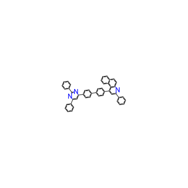 c1ccc(-c2cc(-c3ccc(-c4ccc(-c5cc(-c6ccccc6)nc6ccc7ccccc7c56)cc4)cc3)nc(-c3ccccc3)n2)cc1